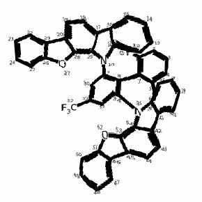 Fc1cccc(F)c1-c1c(-n2c3ccccc3c3ccc4c5ccccc5oc4c32)cc(C(F)(F)F)cc1-n1c2ccccc2c2ccc3c4ccccc4oc3c21